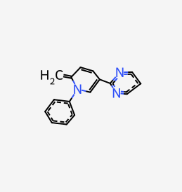 C=C1C=CC(c2ncccn2)=CN1c1ccccc1